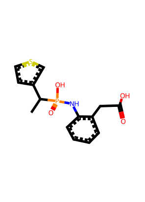 CC(c1ccsc1)P(=O)(O)Nc1ccccc1CC(=O)O